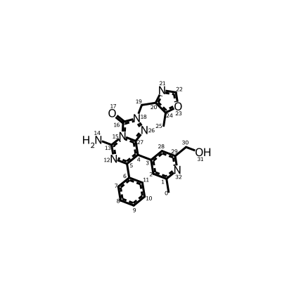 Cc1cc(-c2c(-c3ccccc3)nc(N)n3c(=O)n(Cc4ncoc4C)nc23)cc(CO)n1